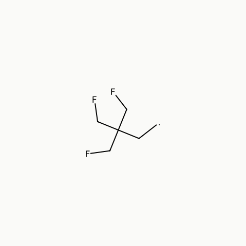 [CH2]CC(CF)(CF)CF